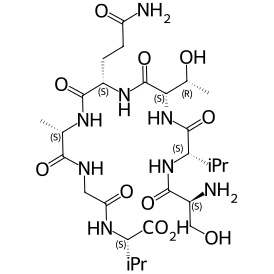 CC(C)[C@H](NC(=O)CNC(=O)[C@H](C)NC(=O)[C@H](CCC(N)=O)NC(=O)[C@@H](NC(=O)[C@@H](NC(=O)[C@@H](N)CO)C(C)C)[C@@H](C)O)C(=O)O